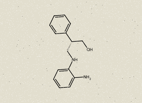 Nc1ccccc1NC[C@@H](CO)c1ccccc1